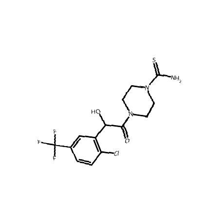 NC(=S)N1CCN(C(=O)C(O)c2cc(C(F)(F)F)ccc2Cl)CC1